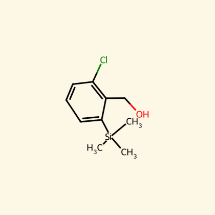 C[Si](C)(C)c1cccc(Cl)c1CO